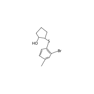 Cc1ccc(SC2CCCC2O)c(Br)c1